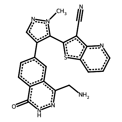 Cn1ncc(-c2ccc3c(=O)[nH]nc(CN)c3c2)c1-c1sc2cccnc2c1C#N